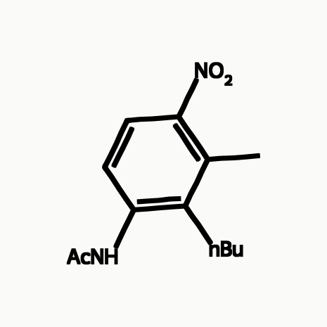 CCCCc1c(NC(C)=O)ccc([N+](=O)[O-])c1C